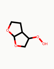 OOC1COC2OCCC12